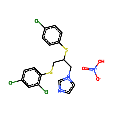 Clc1ccc(SC(CSc2ccc(Cl)cc2Cl)Cn2ccnc2)cc1.O=[N+]([O-])O